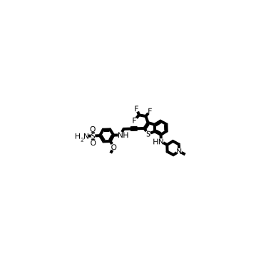 COc1cc(S(N)(=O)=O)ccc1NCC#Cc1sc2c(NC3CCN(C)CC3)cccc2c1C(F)C(F)F